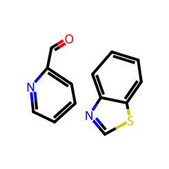 O=Cc1ccccn1.c1ccc2scnc2c1